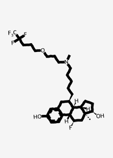 CN(CCCCC[C@@H]1Cc2cc(O)ccc2[C@@H]2[C@@H]1[C@@H]1CC[C@H](O)[C@@]1(C)C[C@@H]2F)CCCOCCCC(F)(F)C(F)(F)F